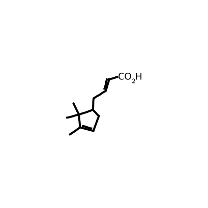 CC1=CCC(CC=CC(=O)O)C1(C)C